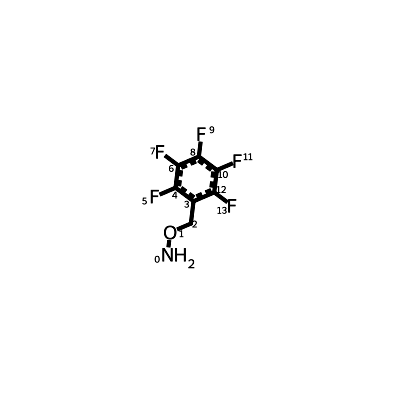 NOCc1c(F)c(F)c(F)c(F)c1F